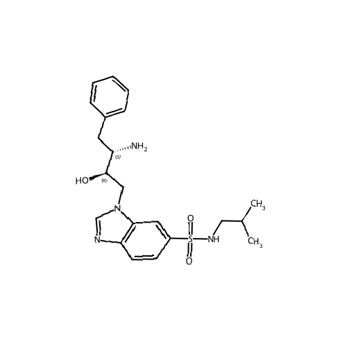 CC(C)CNS(=O)(=O)c1ccc2ncn(C[C@@H](O)[C@@H](N)Cc3ccccc3)c2c1